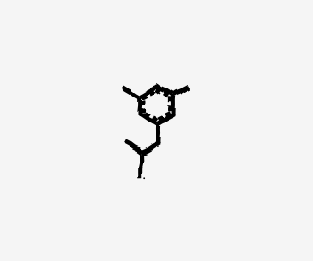 [CH2]C(C)Cc1cc(C)cc(C)c1